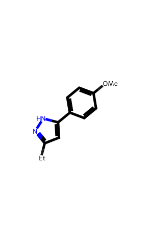 CCc1cc(-c2ccc(OC)cc2)[nH]n1